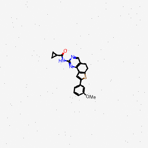 COc1cccc(-c2cc3c(s2)CCc2cnc(NC(=O)C4CC4)nc2-3)c1